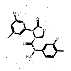 CCc1cc(C)nc(N2C(=O)OC[C@H]2C(=O)N(C)c2ccc(F)c(Cl)c2)c1